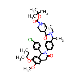 CC[C@@H](C)Oc1cc2c(cc1OC)CC(=O)N(c1ccc(C(C)N(CC)C(=O)C3CCN(C(=O)OC(C)(C)C)CC3)cc1)C2c1ccc(Cl)cc1